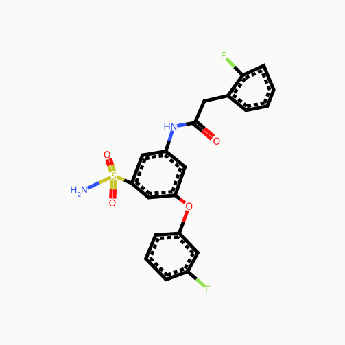 NS(=O)(=O)c1cc(NC(=O)Cc2ccccc2F)cc(Oc2cccc(F)c2)c1